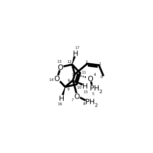 C/C=C\[C@@]1(OP)[C@H](OP)[C@@H]2C=C[C@H]1OO2